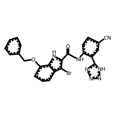 N#Cc1ccc(NC(=O)c2[nH]c3c(OCc4ccccc4)cccc3c2Br)c(-c2nnn[nH]2)c1